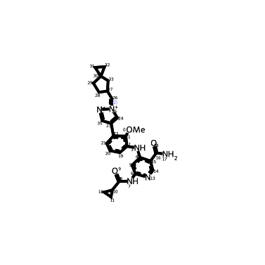 COc1c(Nc2cc(NC(=O)C3CC3)ncc2C(N)=O)cccc1C1=C/[N+](=C/C2CCC3(CC3)C2)N=C1